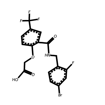 O=C(O)COc1ccc(C(F)(F)F)cc1C(=O)NCc1ccc(Br)cc1F